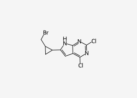 Clc1nc(Cl)c2cc(C3CC3CBr)[nH]c2n1